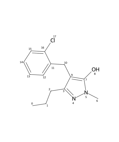 CCCc1nn(C)c(O)c1Cc1ccccc1Cl